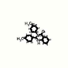 Cc1ccc(C2Nc3ccccc3C(=O)N2c2ccc(C)cc2)cc1